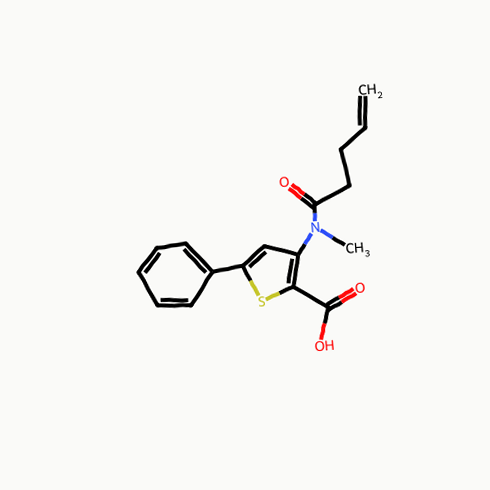 C=CCCC(=O)N(C)c1cc(-c2ccccc2)sc1C(=O)O